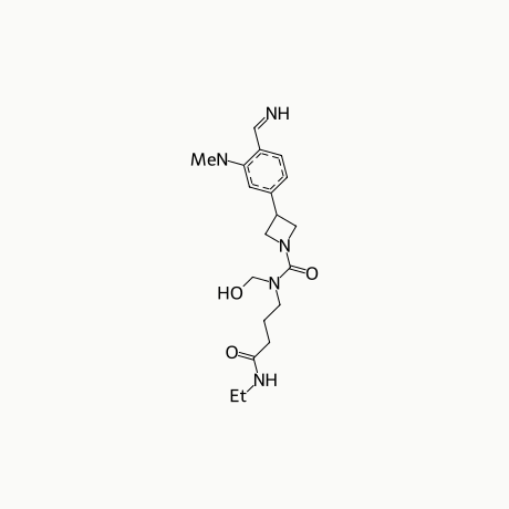 CCNC(=O)CCCN(CO)C(=O)N1CC(c2ccc(C=N)c(NC)c2)C1